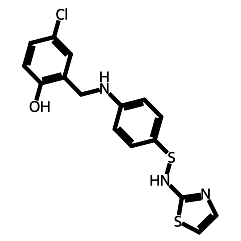 Oc1ccc(Cl)cc1CNc1ccc(SNc2nccs2)cc1